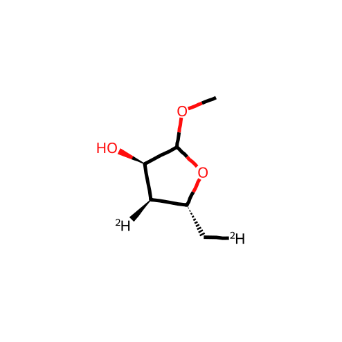 [2H]C[C@H]1OC(OC)[C@H](O)[C@@H]1[2H]